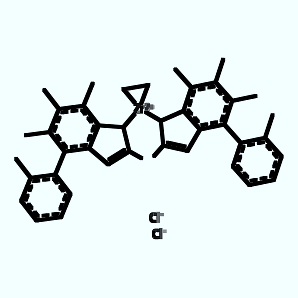 CC1=Cc2c(-c3ccccc3C)c(C)c(C)c(C)c2[CH]1[Zr+2]1([CH]2C(C)=Cc3c(-c4ccccc4C)c(C)c(C)c(C)c32)[CH2][CH2]1.[Cl-].[Cl-]